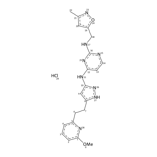 COc1cccc(CCc2cc(Nc3ccnc(NCc4cc(C)no4)n3)n[nH]2)n1.Cl